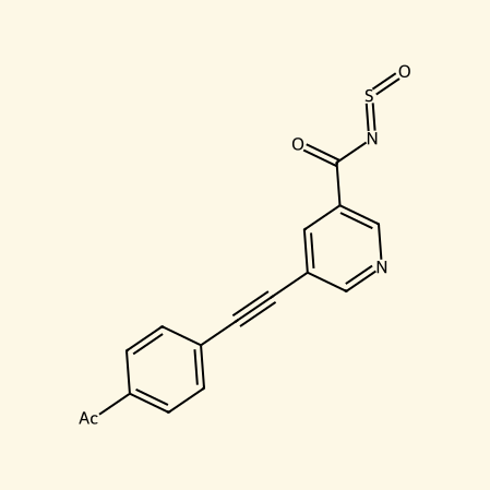 CC(=O)c1ccc(C#Cc2cncc(C(=O)N=S=O)c2)cc1